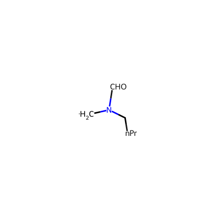 [CH2]N(C=O)CCCC